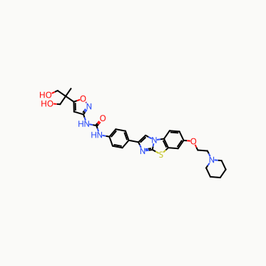 CC(CO)(CO)c1cc(NC(=O)Nc2ccc(-c3cn4c(n3)sc3cc(OCCN5CCCCC5)ccc34)cc2)no1